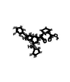 COC(=O)[C@@H]1CCCN1C(=O)c1cc(NC2CCCC2)c2[nH]c(-c3ccccc3)cc2c1